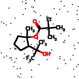 CCC(C)(C)C(=O)OC1(C)CCCC1C(O)(C(F)(F)F)C(F)(F)F